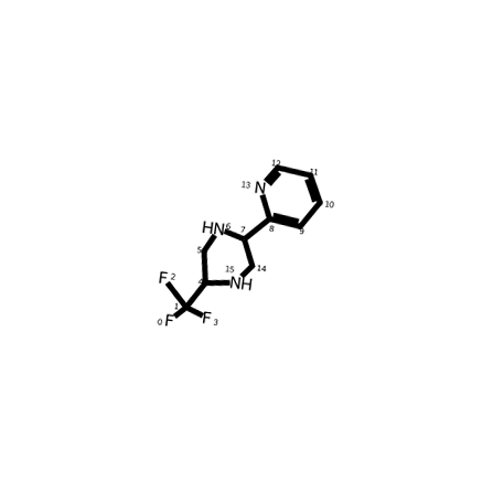 FC(F)(F)C1CNC(c2ccccn2)CN1